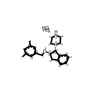 Cc1cc(C)cc(CO[C@@H]2Cc3ccccc3[C@H]2N2CCNCC2)c1.Cl.Cl